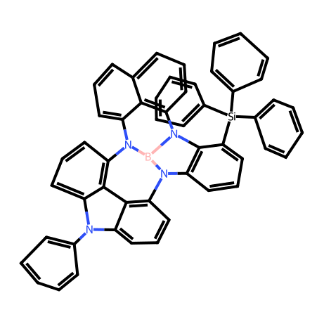 c1ccc(-n2c3cccc4c3c3c(cccc32)N2B3N(c5c(cccc5[Si](c5ccccc5)(c5ccccc5)c5ccccc5)N34)c3cccc4cccc2c34)cc1